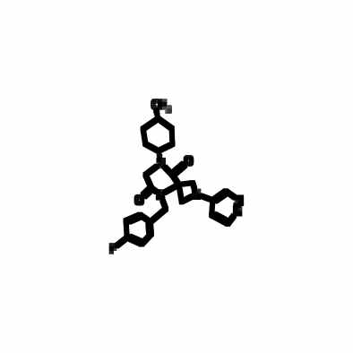 C[C@H]1CC[C@H](N2CC(=O)N(Cc3ccc(F)cc3)C3(CN(c4ccnnc4)C3)C2=O)CC1